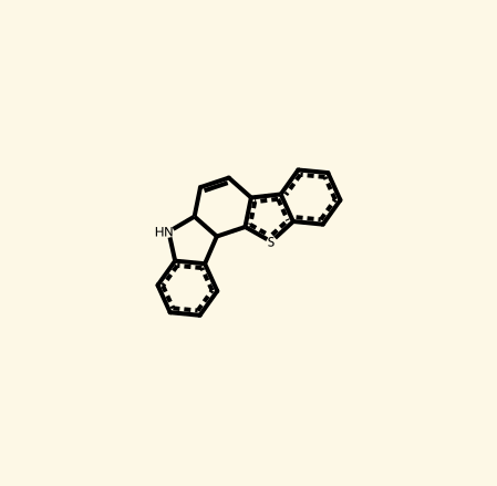 C1=CC2Nc3ccccc3C2c2sc3ccccc3c21